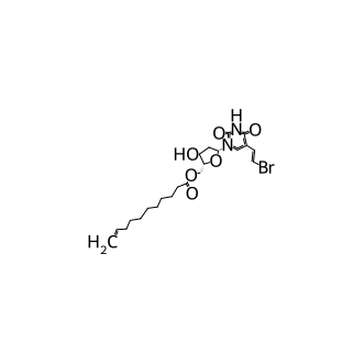 C=CCCCCCCCCC(=O)OC[C@H]1O[C@@H](n2cc(/C=C/Br)c(=O)[nH]c2=O)C[C@@H]1O